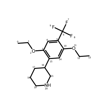 CCOc1cc(C(F)(F)F)c(OCC)cc1C1CCCNC1